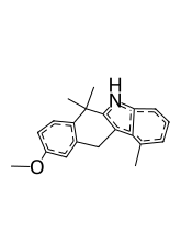 COc1ccc2c(c1)Cc1c([nH]c3cccc(C)c13)C2(C)C